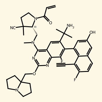 C#Cc1c(F)ccc2cc(O)cc(-c3c(C(C)(C)N)cc4c(N(C)C[C@H]5N(C(=O)C=C)CCC5(C)C#N)nc(OCC56CCCN5CCC6)nc4c3F)c12